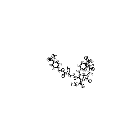 CC(OS(C)(=O)=O)C1C(=O)N2C(C(=O)O)=C(SCCNC(=O)OCc3ccc([N+](=O)[O-])cc3)C(Cc3ccc([N+](=O)[O-])cc3)C12